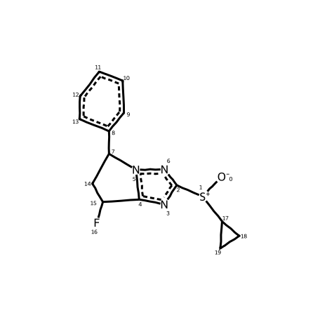 [O-][S+](c1nc2n(n1)C(c1ccccc1)CC2F)C1CC1